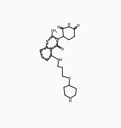 Cc1nc2cccc(NCCCOC3CCNCC3)c2c(=O)n1C1CCC(=O)NC1=O